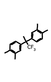 Cc1ccc(C(C)(c2ccc(C)c(C)c2)C(F)(F)F)cc1C